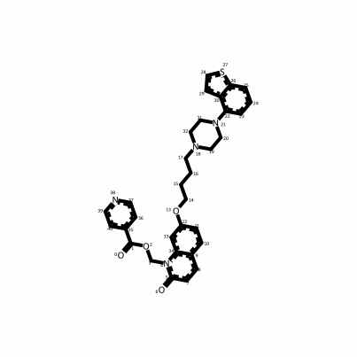 O=C(OCn1c(=O)ccc2ccc(OCCCCN3CCN(c4cccc5sccc45)CC3)cc21)c1ccncc1